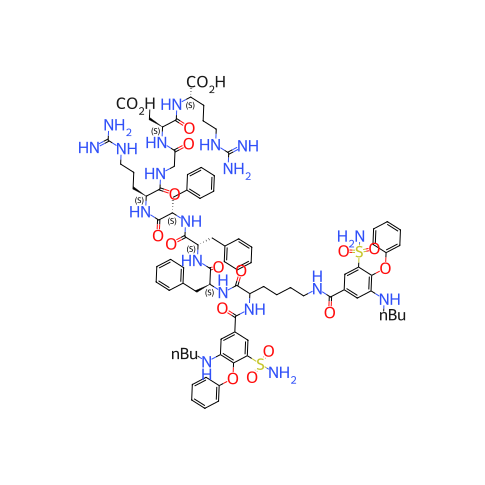 CCCCNc1cc(C(=O)NCCCCC(NC(=O)c2cc(NCCCC)c(Oc3ccccc3)c(S(N)(=O)=O)c2)C(=O)N[C@@H](Cc2ccccc2)C(=O)N[C@@H](Cc2ccccc2)C(=O)N[C@@H](Cc2ccccc2)C(=O)N[C@@H](CCCNC(=N)N)C(=O)NCC(=O)N[C@@H](CC(=O)O)C(=O)N[C@@H](CCCNC(=N)N)C(=O)O)cc(S(N)(=O)=O)c1Oc1ccccc1